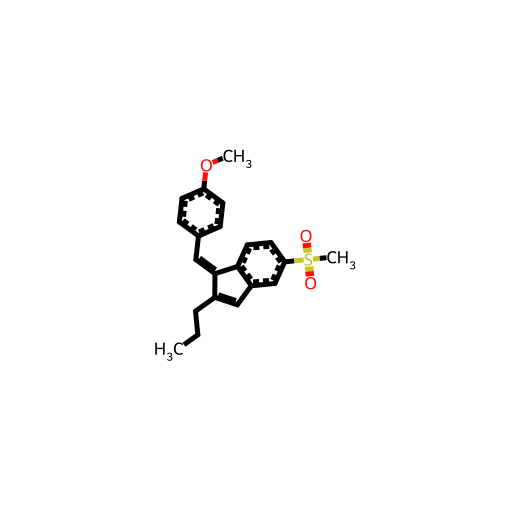 CCCC1=Cc2cc(S(C)(=O)=O)ccc2/C1=C\c1ccc(OC)cc1